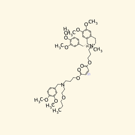 CCCOCCN(CCCOC(=O)/C=C\C(=O)OCCC[N@+]1(C)CCc2cc(OC)c(OC)cc2[C@H]1Cc1ccc(OC)c(OC)c1)Cc1ccc(OC)c(OC)c1